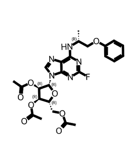 CC(=O)OC[C@H]1O[C@@H](n2cnc3c(N[C@H](C)COc4ccccc4)nc(F)nc32)[C@H](OC(C)=O)[C@@H]1OC(C)=O